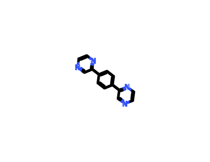 c1cnc(-c2ccc(-c3cnccn3)cc2)cn1